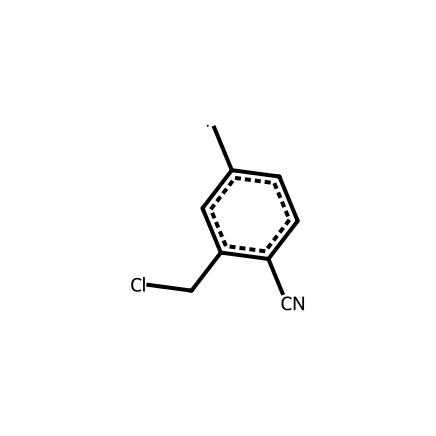 [CH2]c1ccc(C#N)c(CCl)c1